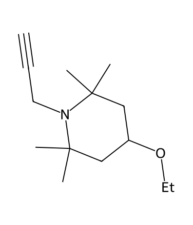 C#CCN1C(C)(C)CC(OCC)CC1(C)C